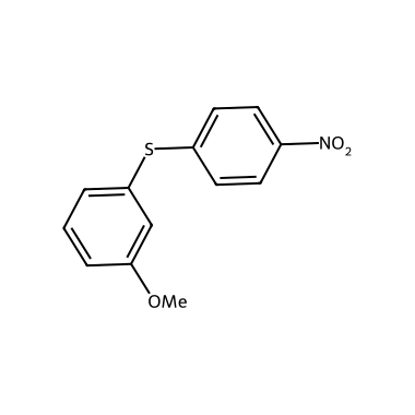 COc1cccc(Sc2ccc([N+](=O)[O-])cc2)c1